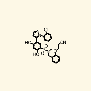 CN(Cc1ccccc1OCCC#N)S(=O)(=O)c1cc(-c2ccnn2-c2ccccc2Cl)c(O)cc1O